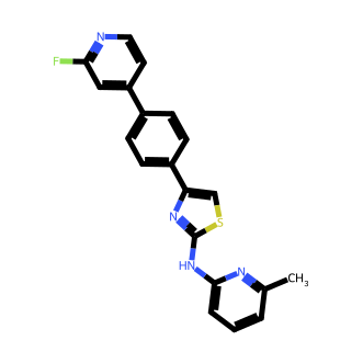 Cc1cccc(Nc2nc(-c3ccc(-c4ccnc(F)c4)cc3)cs2)n1